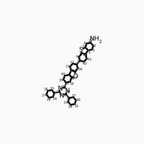 Nc1ccc2c(c1)sc1cc(-c3ccc4c(c3)oc3cc(-c5nc(-c6ccccc6)nc(-c6ccccc6)n5)ccc34)ccc12